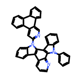 c1ccc(-n2c3ccccc3c3c2c2ncccc2c2c4ccccc4n(-c4cc5c6ccccc6c6ccccc6c5cn4)c23)cc1